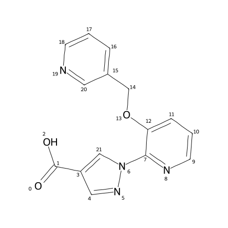 O=C(O)c1cnn(-c2ncccc2OCc2cccnc2)c1